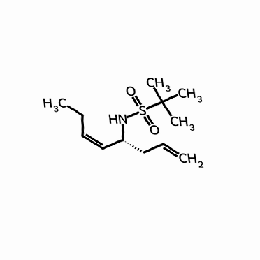 C=CC[C@H](/C=C\CC)NS(=O)(=O)C(C)(C)C